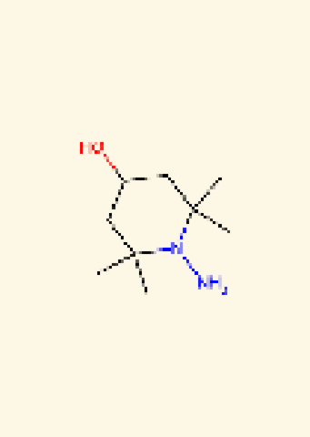 CC1(C)CC(O)CC(C)(C)N1N